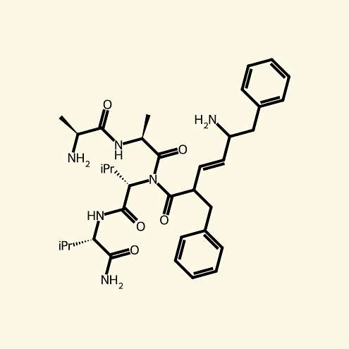 CC(C)[C@H](NC(=O)[C@H](C(C)C)N(C(=O)C(/C=C/C(N)Cc1ccccc1)Cc1ccccc1)C(=O)[C@H](C)NC(=O)[C@H](C)N)C(N)=O